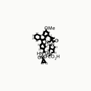 COc1ccc2c(c1)C1CC1(C(=O)N1CC3CN(C(=O)O)CC3C1)Cn1c-2c(C2CCCCC2)c2ccc(C(=O)NS(=O)(=O)C3CC3)cc21